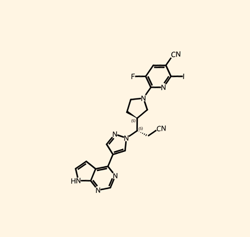 N#CC[C@@H]([C@H]1CCN(c2nc(I)c(C#N)cc2F)C1)n1cc(-c2ncnc3[nH]ccc23)cn1